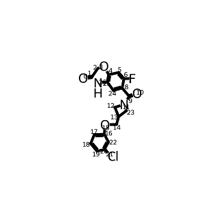 O=C1COc2cc(F)c(C(=O)N3CC(COc4cccc(Cl)c4)C3)cc2N1